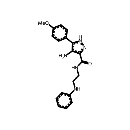 COc1ccc(-c2[nH]nc(C(=O)NCCNc3ccccc3)c2N)cc1